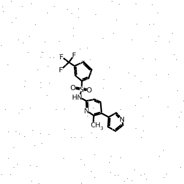 Cc1nc(NS(=O)(=O)c2cccc(C(F)(F)F)c2)ccc1-c1cccnc1